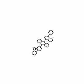 c1ccc(-c2ccc(-c3c4ccccc4c(-c4ccc5c(c4)oc4ccccc45)c4ccccc34)c3ccccc23)cc1